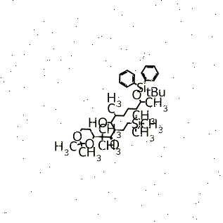 CC(CCC[C@H](C)C(O)[C@@H](CC[Si](C)(C)C)C(=O)C(C)(C)[C@@H]1CCOC(C)(C)O1)O[Si](c1ccccc1)(c1ccccc1)C(C)(C)C